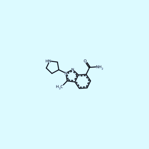 Cc1c2cccc(C(N)=O)c2nn1C1CCNC1